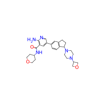 Nc1ncc(-c2ccc3c(c2)CCC3N2CCN(C3COC3)CC2)cc1C(=O)NC1CCOCC1